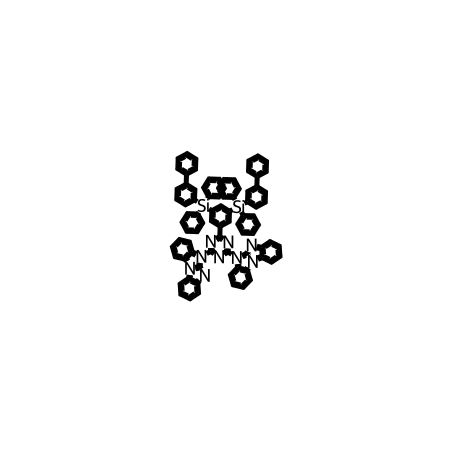 c1ccc(-c2cccc([Si](c3ccccc3)(c3ccccc3)c3cc(-c4nc(-n5c6ccccc6n6c7ccccc7nc56)nc(-n5c6ccccc6n6c7ccccc7nc56)n4)cc([Si](c4ccccc4)(c4ccccc4)c4cccc(-c5ccccc5)c4)c3)c2)cc1